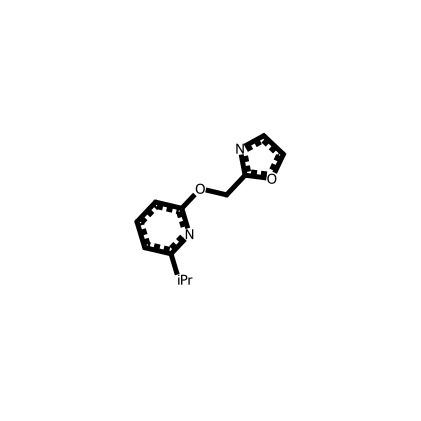 CC(C)c1cccc(OCc2ncco2)n1